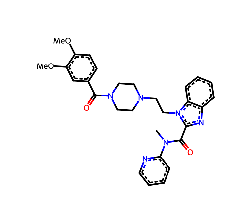 COc1ccc(C(=O)N2CCN(CCn3c(C(=O)N(C)c4ccccn4)nc4ccccc43)CC2)cc1OC